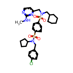 CNc1nccc(CN(CC2CCCCC2)S(=O)(=O)c2ccc(S(=O)(=O)N(Cc3ccc(Cl)cc3)C3CCCC3)cc2)n1